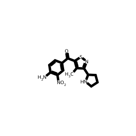 Cc1c(C2CCCN2)nsc1C(=O)c1ccc(N)c([N+](=O)[O-])c1